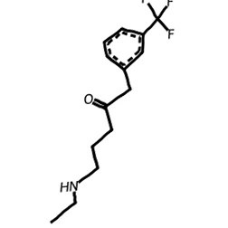 CCNCCCC(=O)Cc1cccc(C(F)(F)F)c1